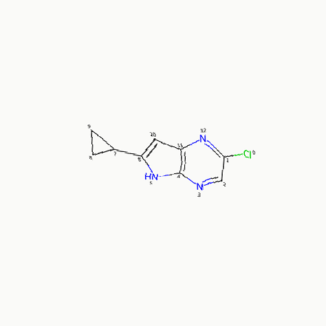 Clc1cnc2[nH]c(C3CC3)cc2n1